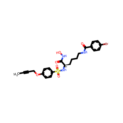 CC#CCOc1ccc(S(=O)(=O)N[C@H](CCCCNC(=O)c2ccc(Br)cc2)C(=O)NO)cc1